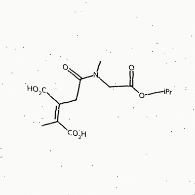 C/C(C(=O)O)=C(/CC(=O)N(C)CC(=O)OC(C)C)C(=O)O